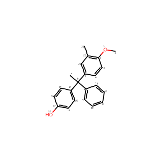 COc1ccc(C(C)(c2ccccc2)c2ccc(O)cc2)cc1C